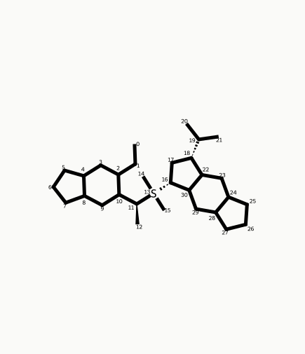 CCC1CC2CCCC2CC1[C@H](C)S(C)(C)[C@@H]1C[C@H](C(C)C)C2CC3CCCC3CC21